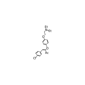 CCN(CC)CCOc1ccc(OC(=Cc2ccc(Cl)cc2)C(C)=O)cc1